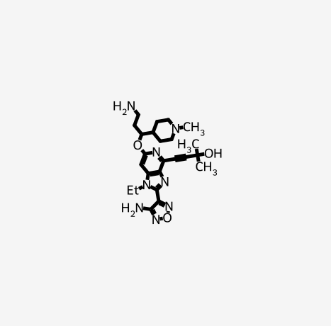 CCn1c(-c2nonc2N)nc2c(C#CC(C)(C)O)nc(OC(CCN)C3CCN(C)CC3)cc21